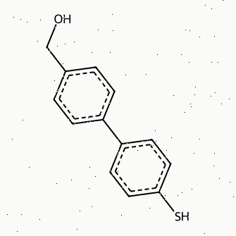 OCc1ccc(-c2ccc(S)cc2)cc1